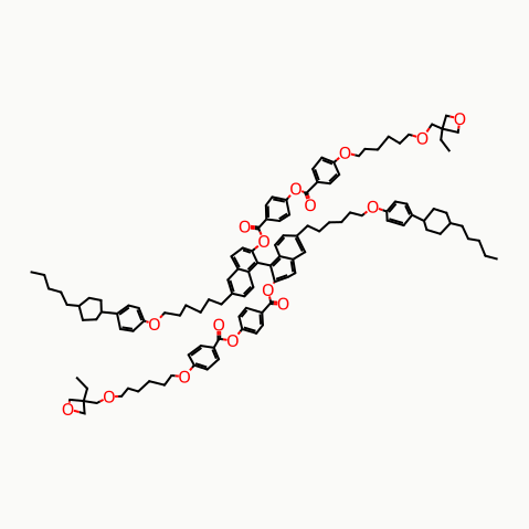 CCCCCC1CCC(c2ccc(OCCCCCCc3ccc4c(-c5c(OC(=O)c6ccc(OC(=O)c7ccc(OCCCCCCOCC8(CC)COC8)cc7)cc6)ccc6cc(CCCCCCOc7ccc(C8CCC(CCCCC)CC8)cc7)ccc56)c(OC(=O)c5ccc(OC(=O)c6ccc(OCCCCCCOCC7(CC)COC7)cc6)cc5)ccc4c3)cc2)CC1